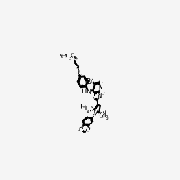 COCCOc1ccc(Nc2c(Br)cnc3[nH]c(-c4cc(C)n(-c5ccc6c(c5)OCO6)c4C)nc23)cc1